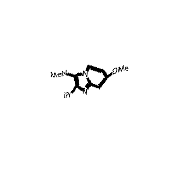 CNc1c(C(C)C)nc2cc(OC)ccn12